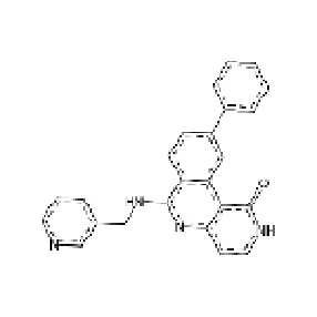 O=c1[nH]ccc2nc(NCc3cccnc3)c3ccc(-c4ccccc4)cc3c12